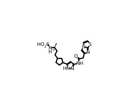 C[C@@H](CCC1CCC(c2cc(NC(=O)Cc3cn4ccsc4n3)n[nH]2)C1)NC(=O)O